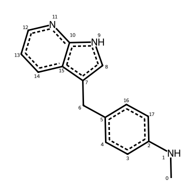 CNc1ccc(Cc2c[nH]c3ncccc23)cc1